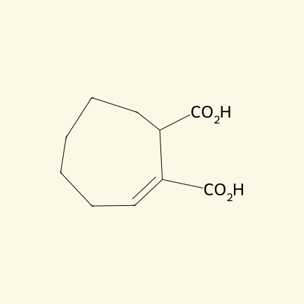 O=C(O)C1=CCCCCCC1C(=O)O